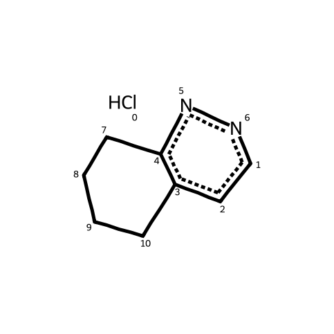 Cl.c1cc2c(nn1)CCCC2